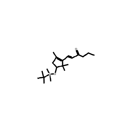 CCCC(=O)C=CC1=C(C)CC(O[Si](C)(C)C(C)(C)C)C1(C)C